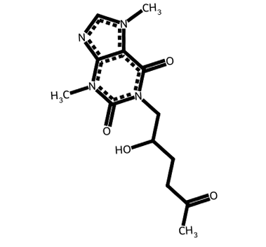 CC(=O)CCC(O)Cn1c(=O)c2c(ncn2C)n(C)c1=O